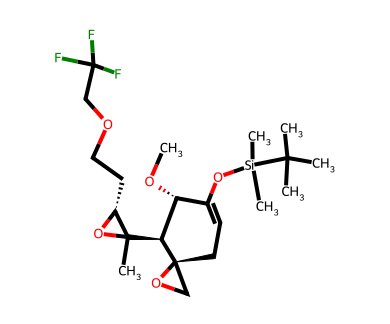 CO[C@@H]1C(O[Si](C)(C)C(C)(C)C)=CC[C@]2(CO2)[C@H]1C1(C)O[C@@H]1CCOCC(F)(F)F